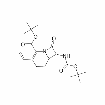 C=CC1=C(C(=O)OC(C)(C)C)N2C(=O)C(NC(=O)OC(C)(C)C)C2CC1